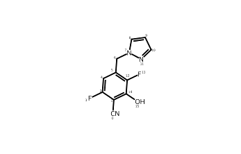 N#Cc1c(F)cc(Cn2cccn2)c(F)c1O